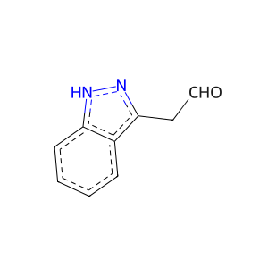 O=CCc1n[nH]c2ccccc12